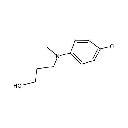 CN(CCCO)c1ccc(Cl)cc1